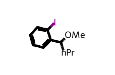 CCC[C](OC)c1ccccc1I